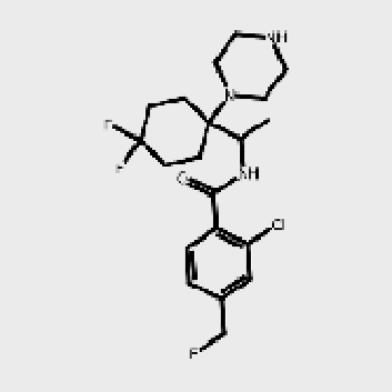 CC(NC(=O)c1ccc(CF)cc1Cl)C1(N2CCNCC2)CCC(F)(F)CC1